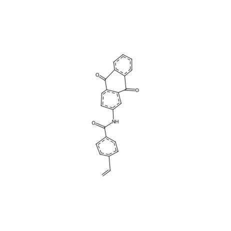 C=Cc1ccc(C(=O)Nc2ccc3c(c2)C(=O)c2ccccc2C3=O)cc1